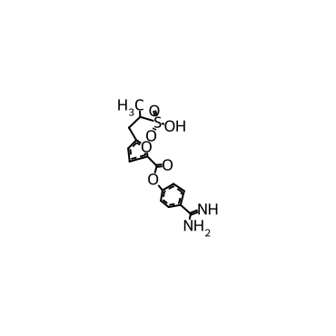 CC(Cc1ccc(C(=O)Oc2ccc(C(=N)N)cc2)o1)S(=O)(=O)O